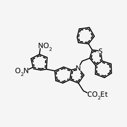 CCOC(=O)Cc1cn(Cc2c(-c3ccccc3)sc3ccccc23)c2cc(-c3cc([N+](=O)[O-])cc([N+](=O)[O-])c3)ccc12